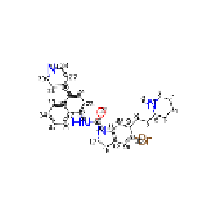 CN1CCCCC1CCc1cc2c(cc1Br)CCN2C(=O)Nc1ccc(-c2ccncc2)c2ccccc12